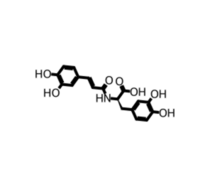 O=C(C=Cc1ccc(O)c(O)c1)N[C@H](Cc1ccc(O)c(O)c1)C(=O)O